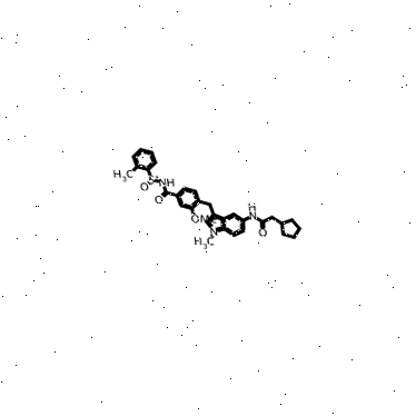 COc1cc(C(=O)N[S+]([O-])c2ccccc2C)ccc1Cc1cn(C)c2ccc(NC(=O)CC3CCCC3)cc12